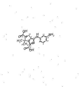 CC1(C)c2c(c(Nc3cccc(N)c3)nn2C(=O)O)CN1C(=O)O